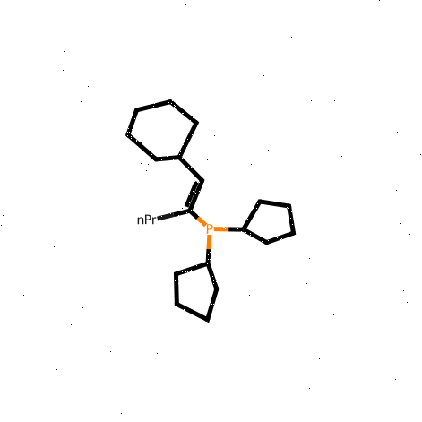 CCCC(=CC1CCCCC1)P(C1CCCC1)C1CCCC1